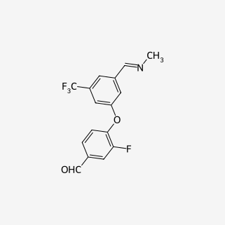 C/N=C/c1cc(Oc2ccc(C=O)cc2F)cc(C(F)(F)F)c1